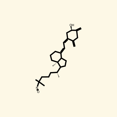 C=C1CC(=C)[C@H](O)C/C1=C/C=C1\CCC[C@@]2(C)C1CCC2[C@H](C)CCCC(C)(C)N=O